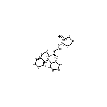 O=C(CNC[C@H]1CCCC[C@@H]1O)N1CCC2=CCCC=C2C1C1CCCCC1